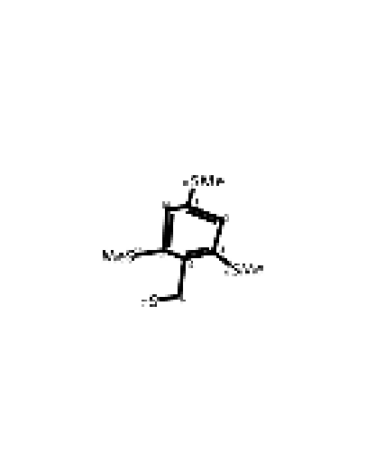 CSc1cc(SC)c(C[S])c(SC)c1